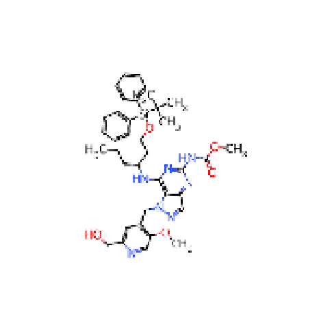 CCC[C@@H](CCO[Si](c1ccccc1)(c1ccccc1)C(C)(C)C)Nc1nc(NC(=O)OC)nc2cnn(Cc3cc(CO)ncc3OC)c12